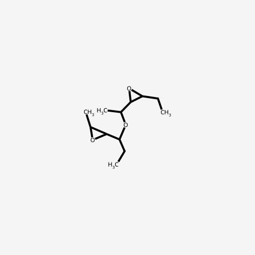 CCC(OC(C)C1OC1CC)C1OC1C